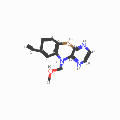 C=Cc1ccc2c(c1)N(COC)c1nccnc1S2